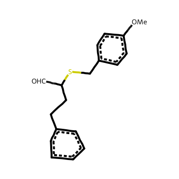 COc1ccc(CSC(C=O)CCc2ccccc2)cc1